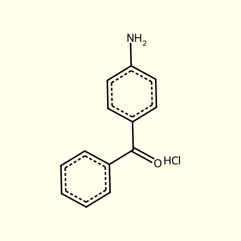 Cl.Nc1ccc(C(=O)c2ccccc2)cc1